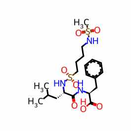 CC(C)C[C@H](NS(=O)(=O)CCCCNS(C)(=O)=O)C(=O)N[C@@H](Cc1ccccc1)C(=O)O